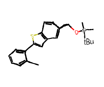 Cc1ccccc1-c1cc2cc(CO[Si](C)(C)C(C)(C)C)ccc2s1